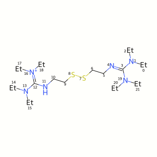 CCN(CC)C(=NCCSSCCNC(N(CC)CC)=[N+](CC)CC)N(CC)CC